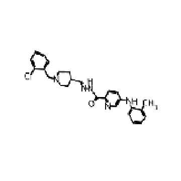 Cc1ccccc1Nc1ccc(C(=O)NN=CC2CCN(Cc3ccccc3Cl)CC2)nc1